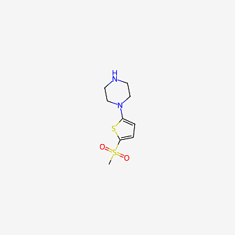 CS(=O)(=O)c1ccc(N2CCNCC2)s1